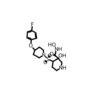 O=C(NO)C1(O)CNCCC1S(=O)(=O)N1CCC(Oc2ccc(F)cc2)CC1